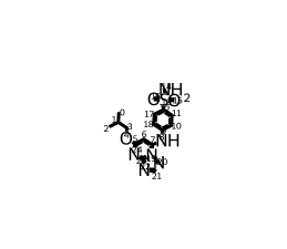 CC(C)COc1cc(Nc2ccc(S(N)(=O)=O)cc2)n2ncnc2n1